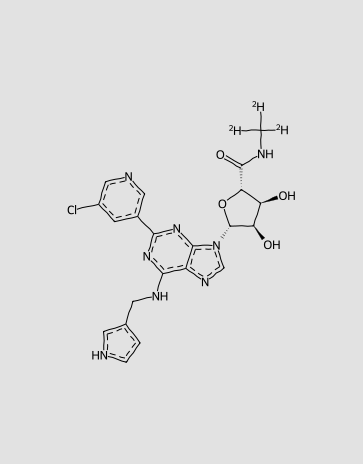 [2H]C([2H])([2H])NC(=O)[C@H]1O[C@@H](n2cnc3c(NCc4cc[nH]c4)nc(-c4cncc(Cl)c4)nc32)[C@H](O)[C@@H]1O